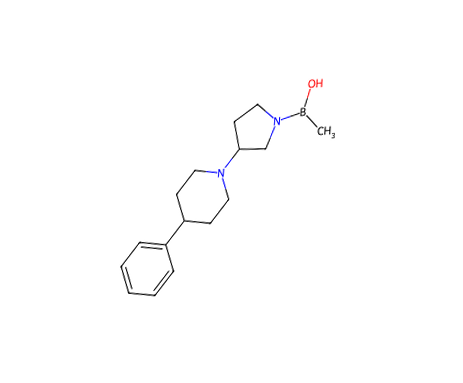 CB(O)N1CCC(N2CCC(c3ccccc3)CC2)C1